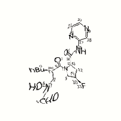 CCCC[C@H](CN(O)C=O)C(=O)N1C[C@H](F)C[C@H]1C(=O)Nc1cnccn1